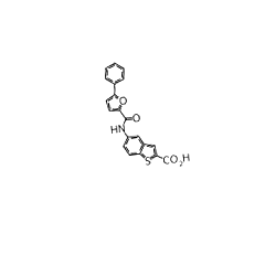 O=C(Nc1ccc2sc(C(=O)O)cc2c1)c1ccc(-c2ccccc2)o1